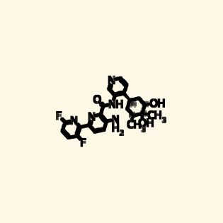 C[C@H]1C[C@@H](c2ccncc2NC(=O)c2nc(-c3nc(F)ccc3F)ccc2N)C[C@@H](O)[C@]1(C)O